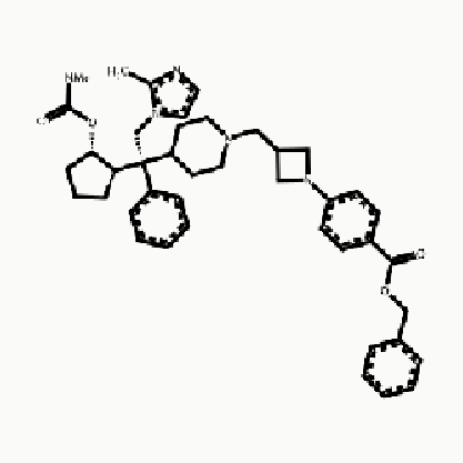 CNC(=O)O[C@H]1CCC[C@@H]1[C@](Cn1ccnc1C)(c1ccccc1)C1CCN(CC2CN(c3ccc(C(=O)OCc4ccccc4)cc3)C2)CC1